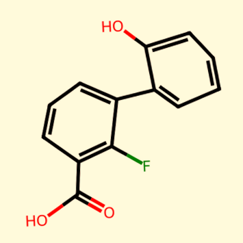 O=C(O)c1cccc(-c2ccccc2O)c1F